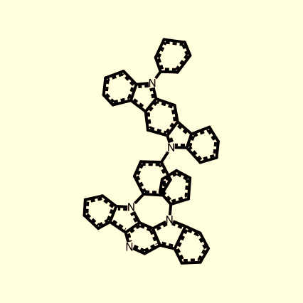 c1ccc(-n2c3ccccc3c3cc4c(cc32)c2ccccc2n4-c2ccc(-n3c4ccccc4c4ncc5c6ccccc6n(-c6ccccc6)c5c43)cc2)cc1